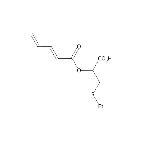 C=CC=CC(=O)OC(CSCC)C(=O)O